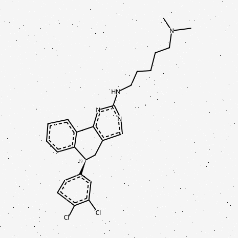 CN(C)CCCCCNc1ncc2c(n1)-c1ccccc1[C@H](c1ccc(Cl)c(Cl)c1)C2